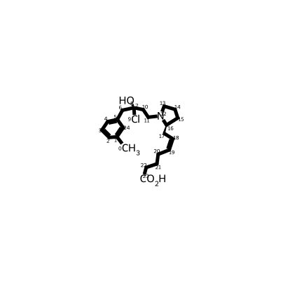 Cc1cccc(C[C@@](O)(Cl)CCN2CCC[C@H]2C/C=C\CCCC(=O)O)c1